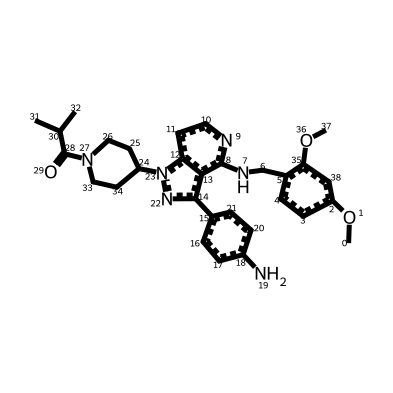 COc1ccc(CNc2nccc3c2c(-c2ccc(N)cc2)nn3C2CCN(C(=O)C(C)C)CC2)c(OC)c1